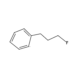 FCCCc1[c]cccc1